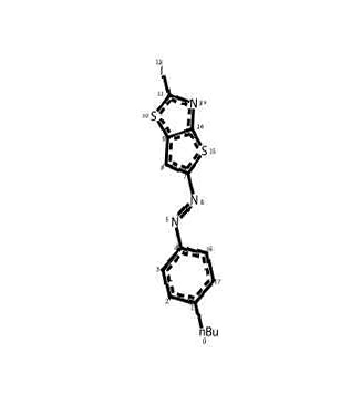 CCCCc1ccc(N=Nc2cc3sc(I)nc3s2)cc1